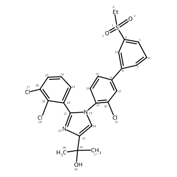 CCS(=O)(=O)c1cccc(-c2ccc(-n3cc(C(C)(C)O)nc3-c3cccc(Cl)c3Cl)c(Cl)c2)c1